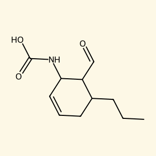 CCCC1CC=CC(NC(=O)O)C1C=O